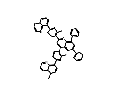 CC1=C(c2nc(-c3ccc(C4=C5N=CC=CC5C(C)C=C4)cc3C)c3cc(C4=CC=CCC4)cc(-c4ccccc4)c3n2)CCC(c2cccc3cccnc23)=C1